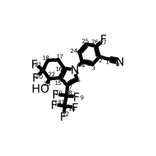 N#Cc1cc(-n2cc(C(F)(F)C(F)(F)F)c3c2CCC(F)(F)C3O)ccc1F